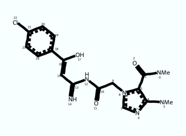 CNC(=O)c1c(NC)ncn1CC(=O)NC(=N)/C=C(\O)c1ccc(Cl)cc1